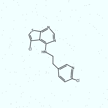 Clc1ccc(CCNc2ncnc3scc(Cl)c23)cn1